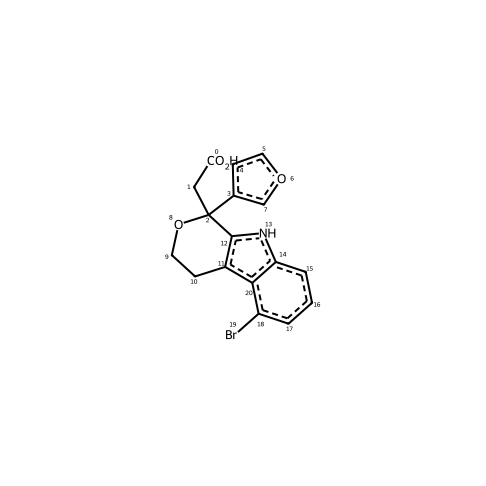 O=C(O)CC1(c2ccoc2)OCCc2c1[nH]c1cccc(Br)c21